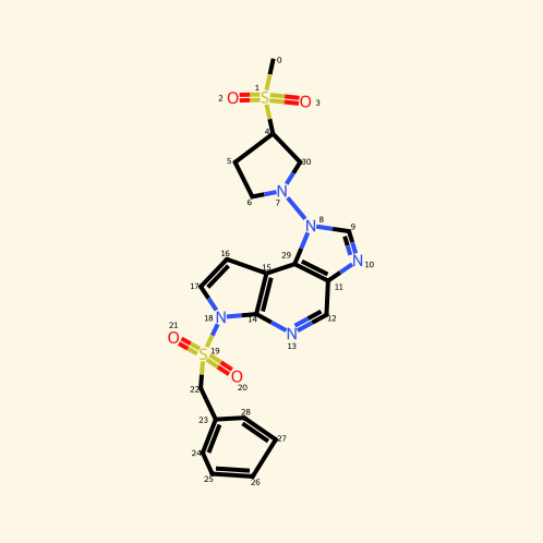 CS(=O)(=O)C1CCN(n2cnc3cnc4c(ccn4S(=O)(=O)Cc4ccccc4)c32)C1